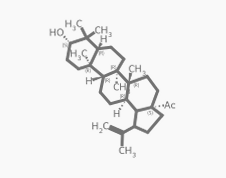 C=C(C)C1CC[C@]2(C(C)=O)CC[C@]3(C)[C@H](CC[C@@H]4[C@@]5(C)CC[C@H](O)C(C)(C)[C@@H]5CC[C@]43C)C12